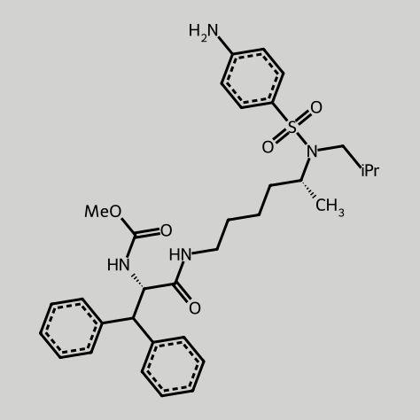 COC(=O)N[C@H](C(=O)NCCCC[C@@H](C)N(CC(C)C)S(=O)(=O)c1ccc(N)cc1)C(c1ccccc1)c1ccccc1